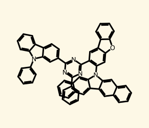 c1ccc(-c2nc(-c3ccc4c5ccccc5n(-c5ccccc5)c4c3)nc(-c3cc4c(cc3-n3c5cc6ccccc6cc5c5cc6ccccc6cc53)oc3ccccc34)n2)cc1